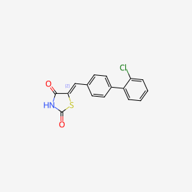 O=C1NC(=O)/C(=C/c2ccc(-c3ccccc3Cl)cc2)S1